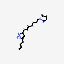 CCCCc1cc(CCCCCCCN2CCCC2)n[nH]1